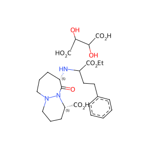 CCOC(=O)C(CCc1ccccc1)N[C@H]1CCCN2CCC[C@@H](C(=O)O)N2C1=O.O=C(O)C(O)C(O)C(=O)O